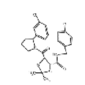 CC1(C)O[C@@H](C(=O)NCc2ccc(Cl)cc2)[C@H](C(=O)N2CCCC2c2cccc(Cl)c2)O1